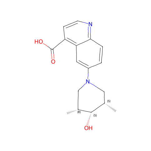 C[C@@H]1CN(c2ccc3nccc(C(=O)O)c3c2)C[C@H](C)[C@@H]1O